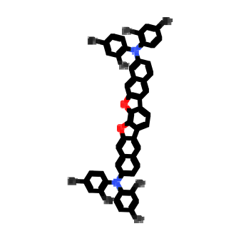 CC(C)c1ccc(N(c2ccc3cc4c(cc3c2)oc2c4ccc3c4cc5ccc(N(c6ccc(C(C)C)cc6C(C)C)c6ccc(C(C)C)cc6C(C)C)cc5cc4oc32)c2ccc(C(C)C)cc2C(C)C)c(C(C)C)c1